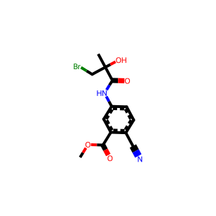 COC(=O)c1cc(NC(=O)C(C)(O)CBr)ccc1C#N